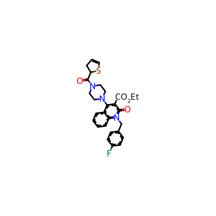 CCOC(=O)c1c(N2CCN(C(=O)C3CC=CS3)CC2)c2ccccc2n(Cc2ccc(F)cc2)c1=O